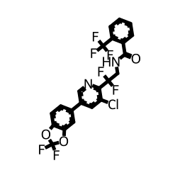 O=C(NCC(F)(F)c1ncc(-c2ccc3c(c2)OC(F)(F)O3)cc1Cl)c1ccccc1C(F)(F)F